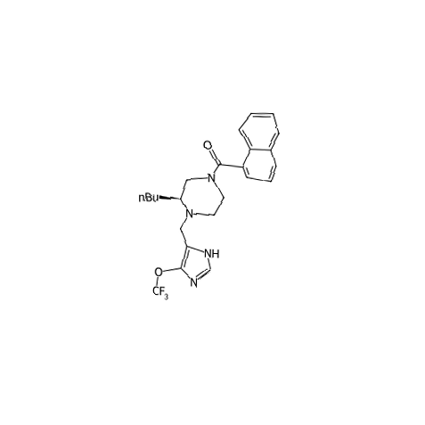 CCCC[C@H]1CN(C(=O)c2cccc3ccccc23)CCN1Cc1[nH]cnc1OC(F)(F)F